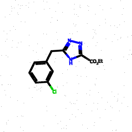 CCOC(=O)c1nnc(Cc2cccc(Cl)c2)[nH]1